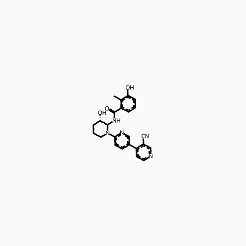 Cc1c(O)cccc1C(=O)NC1[C@@H](O)CCCN1c1ccc(-c2ccncc2C#N)cn1